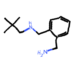 CC(C)(C)CNCc1ccccc1CN